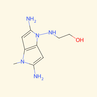 Cn1c(N)cc2c1cc(N)n2NCCO